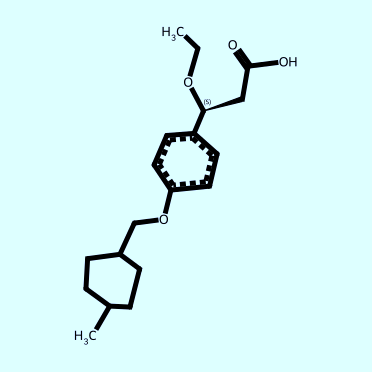 CCO[C@@H](CC(=O)O)c1ccc(OCC2CCC(C)CC2)cc1